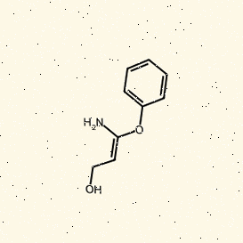 NC(=CCO)Oc1ccccc1